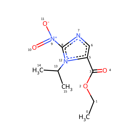 CCOC(=O)c1cnc([N+](=O)[O-])n1C(C)C